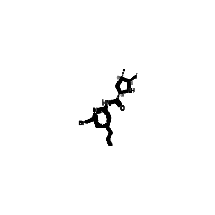 CCCc1cc(Br)nc(NC(=O)[C@@H]2C[C@H](C)[C@@H](I)N2)c1